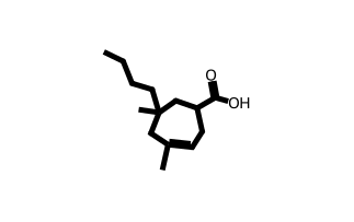 CCCCC1(C)CC(C)=CCC(C(=O)O)C1